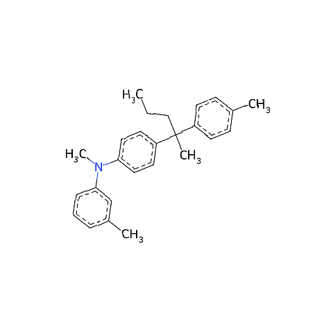 CCCC(C)(c1ccc(C)cc1)c1ccc(N(C)c2cccc(C)c2)cc1